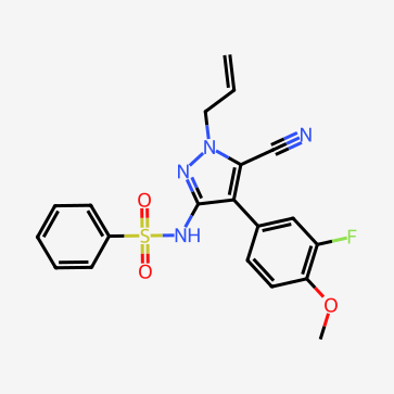 C=CCn1nc(NS(=O)(=O)c2ccccc2)c(-c2ccc(OC)c(F)c2)c1C#N